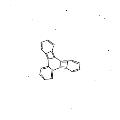 c1ccc2c(c1)c1c3ccccc3c1c1c3ccccc3c21